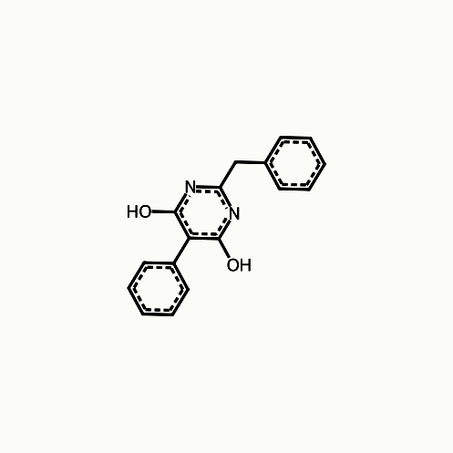 Oc1nc(Cc2ccccc2)nc(O)c1-c1ccccc1